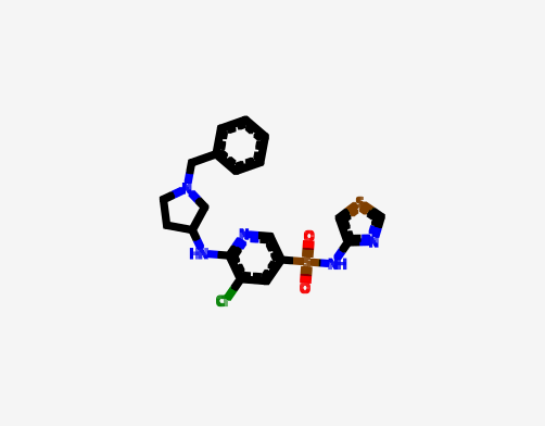 O=S(=O)(Nc1cscn1)c1cnc(NC2CCN(Cc3ccccc3)C2)c(Cl)c1